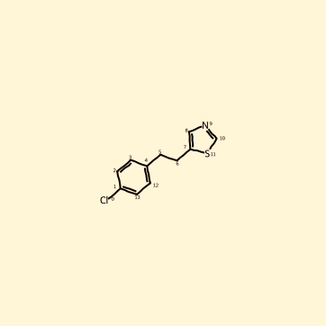 Clc1ccc(CCc2cncs2)cc1